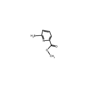 Bc1cccc(C(=O)OC)n1